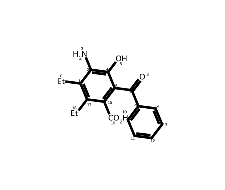 CCc1c(N)c(O)c(C(=O)c2ccccc2)c(C(=O)O)c1CC